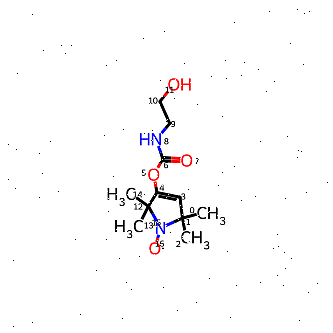 CC1(C)C=C(OC(=O)NCCO)C(C)(C)N1[O]